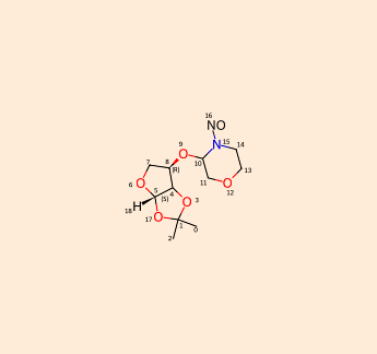 CC1(C)OC2[C@@H](OC[C@H]2OC2COCCN2N=O)O1